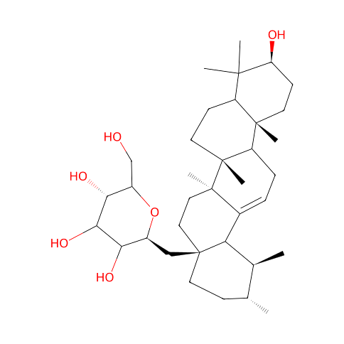 C[C@@H]1CC[C@]2(C[C@@H]3OC(CO)[C@@H](O)C(O)C3O)CC[C@]3(C)C(=CCC4[C@@]5(C)CC[C@H](O)C(C)(C)C5CC[C@]43C)C2[C@H]1C